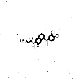 CC(C)(C)CC(=O)Nc1cc2c(cc1F)C(Nc1ccc(Cl)c(Cl)c1)CCC2